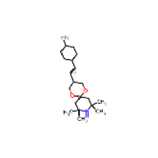 CCCC1CCC(/C=C/C2COC3(CC(C)(C)NC(C)(C)C3)OC2)CC1